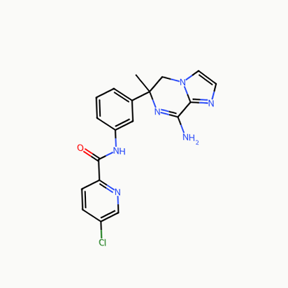 CC1(c2cccc(NC(=O)c3ccc(Cl)cn3)c2)Cn2ccnc2C(N)=N1